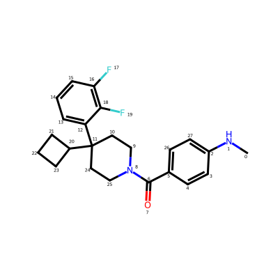 CNc1ccc(C(=O)N2CCC(c3cccc(F)c3F)(C3CCC3)CC2)cc1